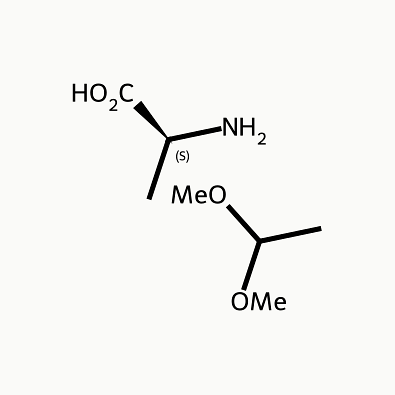 COC(C)OC.C[C@H](N)C(=O)O